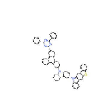 C1=CC2c3cc(-n4c5ccccc5c5cc6sc7ccccc7c6cc54)ccc3N(c3ccc4c5ccc(-c6nc(-c7ccccc7)nc(-c7ccccc7)n6)cc5c5ccccc5c4c3)C2C=C1